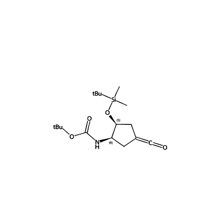 CC(C)(C)OC(=O)N[C@@H]1CC(=C=O)C[C@@H]1O[Si](C)(C)C(C)(C)C